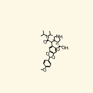 COc1ccc(C2Oc3ccc(C(C(=O)N(C(C)C)C(C)C)[C@H]4CNC[C@@H]4C(=O)O)cc3O2)cc1